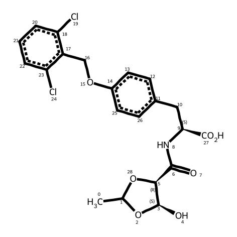 CC1O[C@H](O)[C@H](C(=O)N[C@@H](Cc2ccc(OCc3c(Cl)cccc3Cl)cc2)C(=O)O)O1